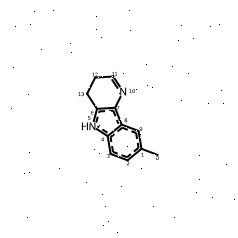 Cc1ccc2[nH]c3c(c2c1)N=CCC3